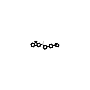 CC1(C)c2ccccc2-c2ccc(Nc3cccc(-c4ccc(C5CC6CCC5C6)cc4)c3)cc21